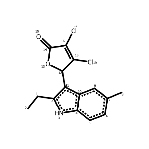 CCc1[nH]c2ccc(C)cc2c1C1OC(=O)C(Cl)=C1Cl